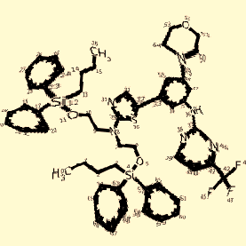 CCCC[Si](OCCN(CCO[Si](CCCC)(c1ccccc1)c1ccccc1)c1ncc(-c2cc(Nc3nccc(C(F)(F)F)n3)cc(N3CCOCC3)c2)s1)(c1ccccc1)c1ccccc1